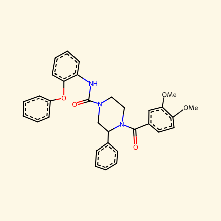 COc1ccc(C(=O)N2CCN(C(=O)Nc3ccccc3Oc3ccccc3)CC2c2ccccc2)cc1OC